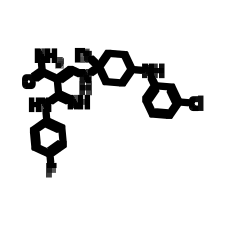 CCC1(N/C=C(\C(=N)Nc2ccc(F)cc2)C(N)=O)CCC(Nc2cccc(Cl)c2)CC1